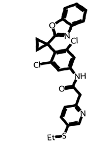 CCSc1ccc(CC(=O)Nc2cc(Cl)c(C3(c4nc5ccccc5o4)CC3)c(Cl)c2)nc1